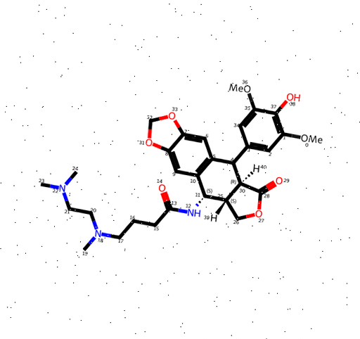 COc1cc(C2c3cc4c(cc3[C@@H](NC(=O)CCCN(C)CCN(C)C)[C@H]3COC(=O)[C@H]23)OCO4)cc(OC)c1O